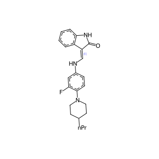 CCCC1CCN(c2ccc(N/C=C3/C(=O)Nc4ccccc43)cc2F)CC1